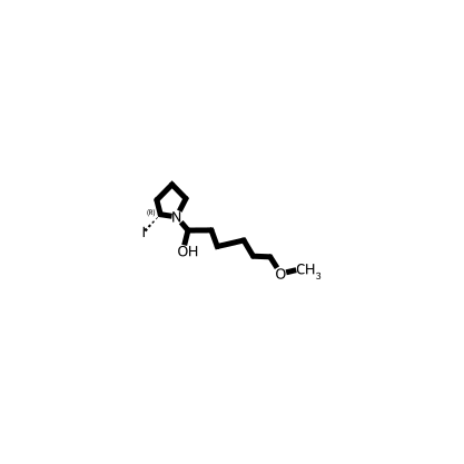 COCCCCCC(O)N1CCC[C@H]1I